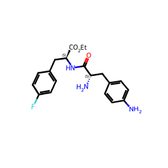 CCOC(=O)[C@H](Cc1ccc(F)cc1)NC(=O)[C@@H](N)Cc1ccc(N)cc1